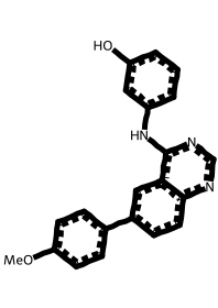 COc1ccc(-c2ccc3ncnc(Nc4cccc(O)c4)c3c2)cc1